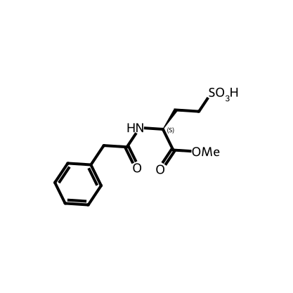 COC(=O)[C@H](CCS(=O)(=O)O)NC(=O)Cc1ccccc1